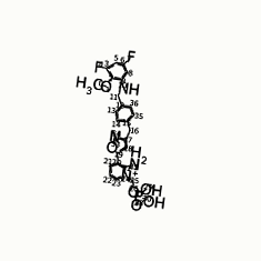 COc1c(F)cc(F)cc1NCc1ccc(Cc2cc(-c3ccc[n+](COP(=O)(O)O)c3N)on2)cc1